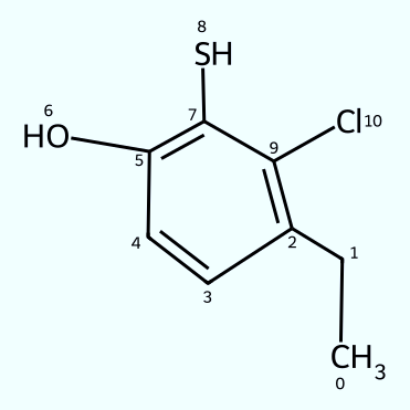 CCc1ccc(O)c(S)c1Cl